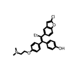 CC/C(=C(/c1ccc(O)cc1)c1ccc(OCCN(C)C)cc1)c1ccc2oc(Cl)cc2c1